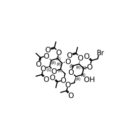 CC(=O)OC[C@H]1O[C@H](O[C@H]2[C@H](OC(C)=O)[C@@H](OC(C)=O)[C@H](OC(C)=O)O[C@@H]2COC(C)=O)[C@H](OC(C)=O)[C@@H](OC(=O)CBr)[C@@H]1O